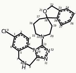 Clc1ccc2c(c1)CNCc1nnc(N3CCCC4(CC3)OCc3ccccc34)n1-2